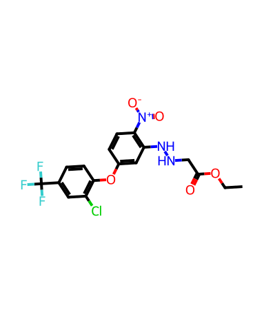 CCOC(=O)CNNc1cc(Oc2ccc(C(F)(F)F)cc2Cl)ccc1[N+](=O)[O-]